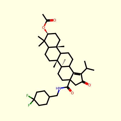 CC(=O)O[C@H]1CC[C@@]2(C)C(CC[C@]3(C)C2CCC2C4=C(C(C)C)C(=O)CC4(C(=O)NCC4CCC(F)(F)CC4)CC[C@]23C)C1(C)C